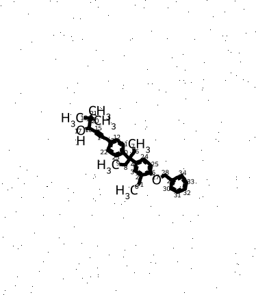 CCc1cc(C(CC)(CC)c2ccc(C#CC(O)C(C)(C)C)cc2)ccc1OCc1ccccc1